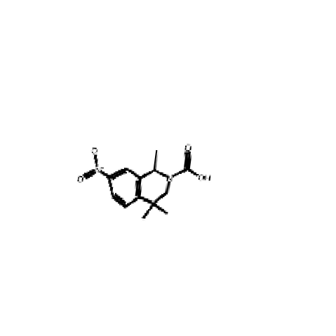 CC1c2cc([N+](=O)[O-])ccc2C(C)(C)CN1C(=O)O